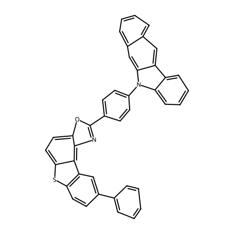 c1ccc(-c2ccc3sc4ccc5oc(-c6ccc(-n7c8ccccc8c8cc9ccccc9cc87)cc6)nc5c4c3c2)cc1